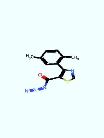 Cc1ccc(C)c(-c2ncsc2C(=O)N=[N+]=[N-])c1